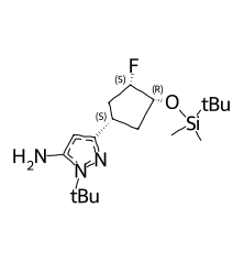 CC(C)(C)n1nc([C@@H]2C[C@H](F)[C@H](O[Si](C)(C)C(C)(C)C)C2)cc1N